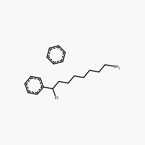 CCC(CCCCCCCN)c1ccccc1.c1ccccc1